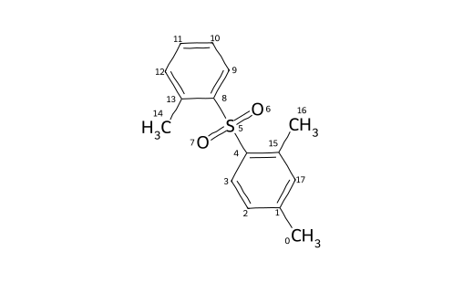 Cc1ccc(S(=O)(=O)c2ccccc2C)c(C)c1